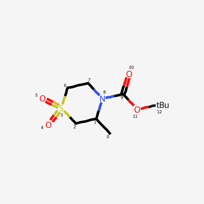 CC1CS(=O)(=O)CCN1C(=O)OC(C)(C)C